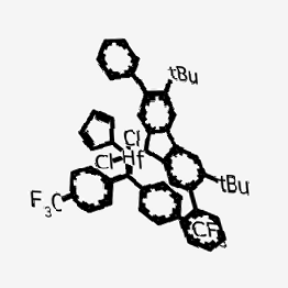 CC(C)(C)c1cc2c(cc1-c1ccccc1)[CH]([Hf]([Cl])([Cl])(=[C](c1ccc(C(F)(F)F)cc1)c1ccc(C(F)(F)F)cc1)[CH]1C=CC=C1)c1cc(-c3ccccc3)c(C(C)(C)C)cc1-2